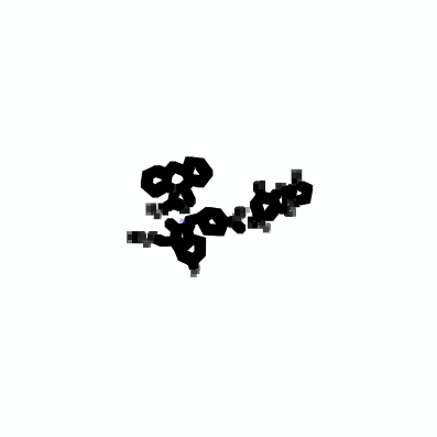 CC1=C(CC(=O)O)c2cc(F)ccc2/C1=C\c1ccc([S+](C)[O-])cc1.NC1=NCC2c3ccccc3Cc3ccccc3N12.Nc1cc(Cl)c(N=C2NCCN2)c(Cl)c1